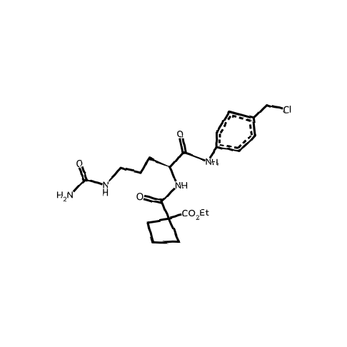 CCOC(=O)C1(C(=O)N[C@@H](CCCNC(N)=O)C(=O)Nc2ccc(CCl)cc2)CCC1